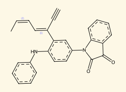 C#C/C(=C\C=C/C)c1cc(N2C(=O)C(=O)c3ccccc32)ccc1Nc1ccccc1